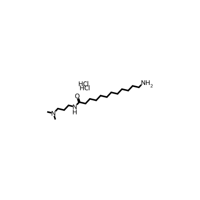 CN(C)CCCNC(=O)CCCCCCCCCCCN.Cl.Cl